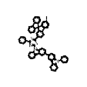 Fc1ccc2c(c1)C1(c3ccccc3-c3ccccc31)c1cc(-c3nc(-c4ccccc4)nc(-n4c5ccccc5c5cc(-c6ccc7c(c6)c6ccccc6n7-c6ccccc6)ccc54)n3)ccc1-2